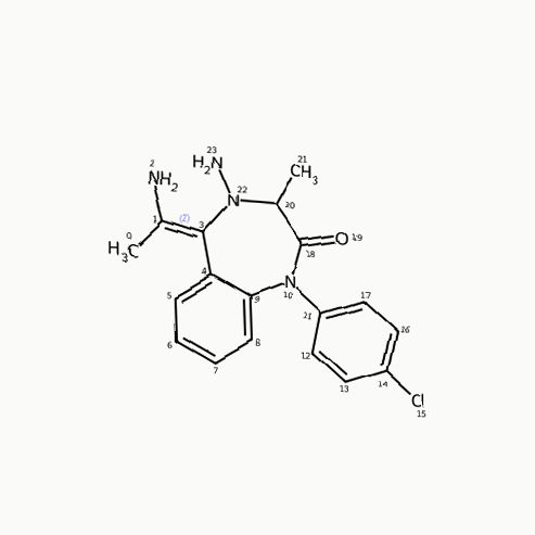 C/C(N)=C1\c2ccccc2N(c2ccc(Cl)cc2)C(=O)C(C)N1N